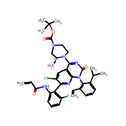 C=CC(=O)Nc1cccc(F)c1-c1nc2c(cc1Cl)c(N1CCN(C(=O)OC(C)(C)C)C[C@@H]1C)nc(=O)n2-c1c(C=C)cccc1C(C)C